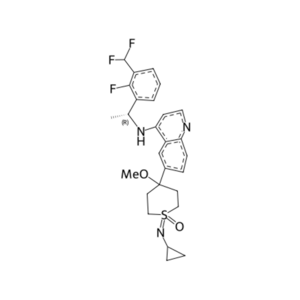 COC1(c2ccc3nccc(N[C@H](C)c4cccc(C(F)F)c4F)c3c2)CCS(=O)(=NC2CC2)CC1